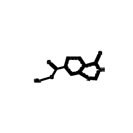 CC(C)(C)OC(=O)c1ccc2c(=O)[nH]cnc2c1